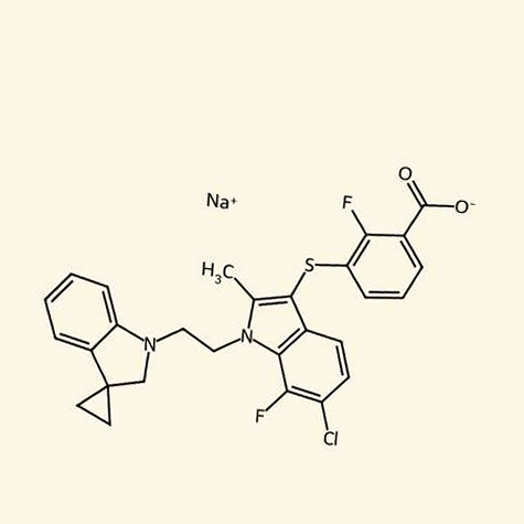 Cc1c(Sc2cccc(C(=O)[O-])c2F)c2ccc(Cl)c(F)c2n1CCN1CC2(CC2)c2ccccc21.[Na+]